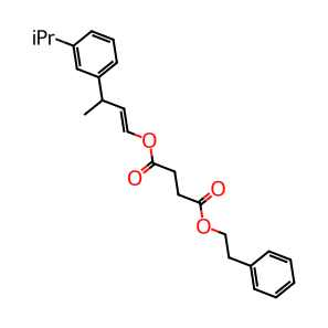 CC(C)c1cccc(C(C)/C=C/OC(=O)CCC(=O)OCCc2ccccc2)c1